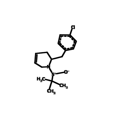 CC(C)(C)[S+]([O-])N1CC=CCC1Cc1ccc(Cl)cc1